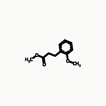 COC(=O)CCc1c[c]ccc1OC